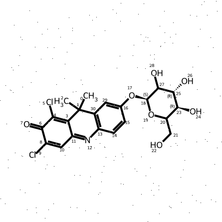 CC1(C)C2=C(Cl)C(=O)C(Cl)=CC2=Nc2ccc(O[C@@H]3OC(CO)[C@H](O)[C@@H](O)C3O)cc21